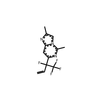 C=CC(F)(c1cc2nc(C)cn2c(C)n1)C(F)(F)F